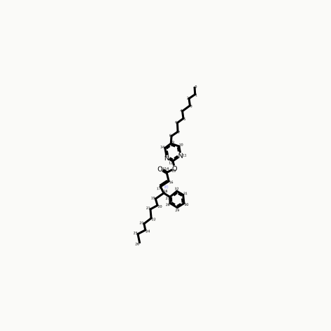 CCCCCCCCCc1cnc(OC(=O)/C=C/C(CCCCCCCC)c2ccccc2)nc1